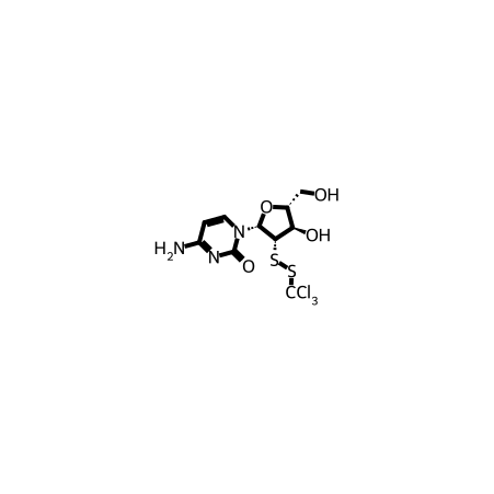 Nc1ccn([C@@H]2O[C@H](CO)[C@@H](O)[C@@H]2SSC(Cl)(Cl)Cl)c(=O)n1